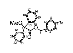 COC(C(=O)OCc1ccc(C)cc1)(c1ccccc1)c1ccccc1